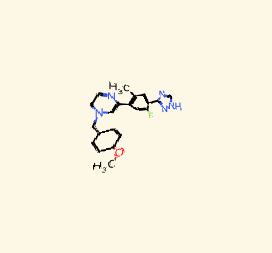 CO[C@H]1CC[C@@H](CN2C=C(c3cc(F)c(-c4nc[nH]n4)cc3C)N=CC2)CC1